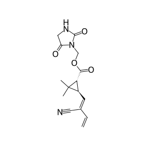 C=C/C(C#N)=C/[C@@H]1[C@@H](C(=O)OCN2C(=O)CNC2=O)C1(C)C